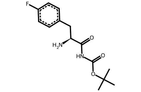 CC(C)(C)OC(=O)NC(=O)[C@@H](N)Cc1ccc(F)cc1